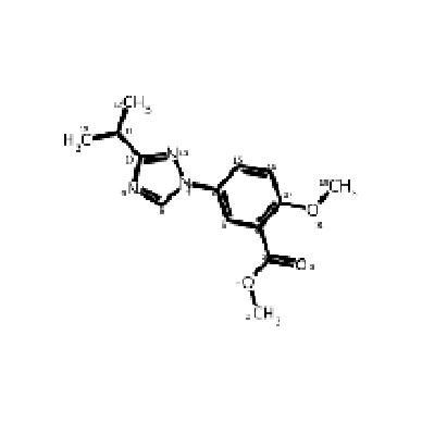 COC(=O)c1cc(-n2cnc(C(C)C)n2)ccc1OC